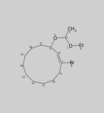 CCOC(C)OC1C=C(Br)CCCCCCCCC1